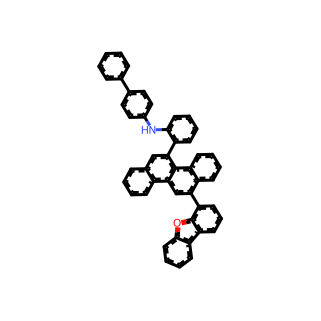 c1ccc(-c2ccc(Nc3ccccc3-c3cc4ccccc4c4cc(-c5cccc6c5oc5ccccc56)c5ccccc5c34)cc2)cc1